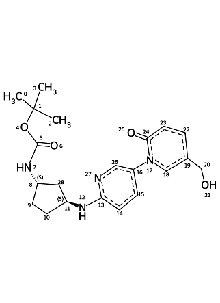 CC(C)(C)OC(=O)N[C@H]1CC[C@H](Nc2ccc(-n3cc(CO)ccc3=O)cn2)C1